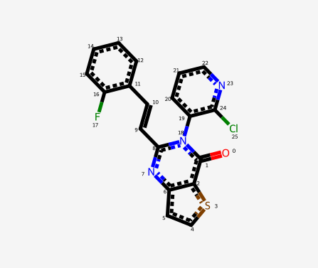 O=c1c2sccc2nc(C=Cc2ccccc2F)n1-c1cccnc1Cl